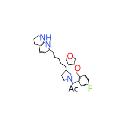 CC(=O)C(c1cc(F)ccc1CO[C@@H]1CCOC1)N1CC[C@@H](CCCCCc2ccc3c(n2)NCCC3)C1